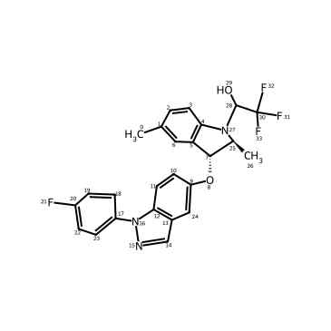 Cc1ccc2c(c1)[C@@H](Oc1ccc3c(cnn3-c3ccc(F)cc3)c1)[C@H](C)N2C(O)C(F)(F)F